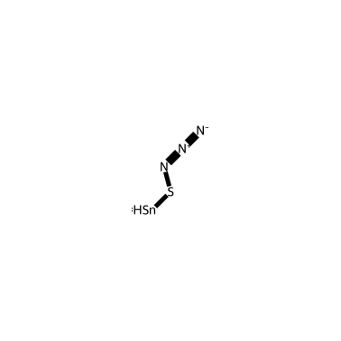 [N-]=[N+]=N[S][SnH]